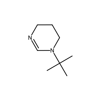 CC(C)(C)N1C=NCCC1